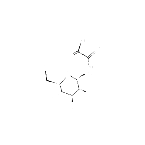 O=C(O)C(=O)O.OC[C@H]1O[C@@H](O)[C@@H](O)[C@@H](O)[C@@H]1O